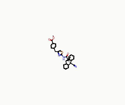 COC(=O)c1ccc(Cc2csc(NC(=O)C3(C)CC4(C#N)c5ccccc5C3c3ccccc34)n2)cc1